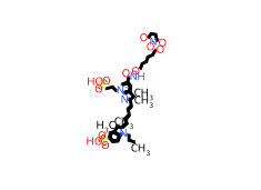 CCCCN1/C(=C/C=C/C=C/C2=Nc3c(cc(C(=O)NOCCCCCC(=O)ON4C(=O)CCC4=O)c[n+]3CCCS(=O)(=O)O)C2(C)C)C(C)(C)c2cc(S(=O)(=O)O)ccc21